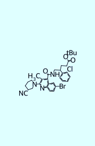 Cc1c(N2CCCC(C#N)C2)nc2ccc(Br)cc2c1C(=O)NCC(CCC(=O)OC(C)(C)C)c1ccccc1Cl